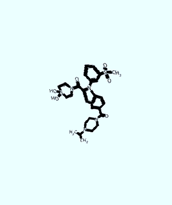 CC(C)N1CCN(C(=O)c2ccc3c(c2)cc(C(=O)N2CCS(O)(O)CC2)n3-c2cccc(S(C)(=O)=O)c2)CC1